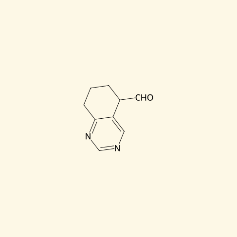 O=CC1CCCc2ncncc21